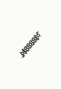 COc1cc(C)cc(N2C(=O)c3ccc4c5ccc6c7ccc8c9ccc%10c%11c(ccc(c%12ccc(c%13ccc(c%14ccc(c3c4%14)C2=O)c5c6%13)c7c8%12)c%119)C(=O)N(c2cc(C)cc(OC)c2)C%10=O)c1